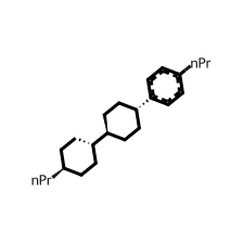 CCCc1ccc([C@H]2CC[C@H]([C@H]3CC[C@H](CCC)CC3)CC2)cc1